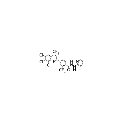 O=C(NNc1ccccn1)c1ccc(C(F)=CC(c2cc(Cl)c(Cl)c(Cl)c2)C(F)(F)F)cc1C(F)(F)F